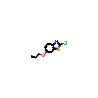 C=CCOc1ccc2nc(Cl)sc2c1